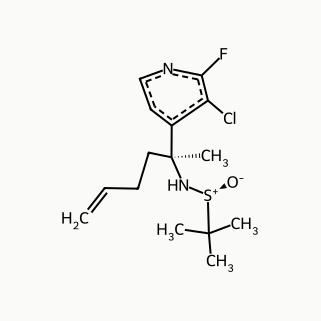 C=CCC[C@](C)(N[S@@+]([O-])C(C)(C)C)c1ccnc(F)c1Cl